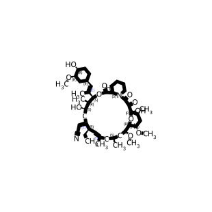 CC[C@@H]1/C=C(\C)C[C@H](C)C[C@H](OC)[C@H]2O[C@@](O)(C(=O)C(=O)N3CCCC[C@H]3C(=O)O[C@H](/C(C)=C/[C@@H]3CC[C@@H](O)[C@H](OC)C3)[C@H](C)[C@@H](O)C/C1=C/C#N)[C@H](C)C[C@@H]2OC